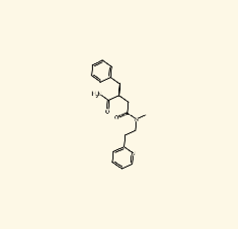 CN(CCc1ccccn1)C(=O)CC(Cc1ccccc1)C(N)=O